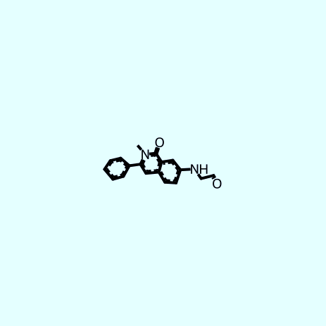 Cn1c(-c2ccccc2)cc2ccc(NCC=O)cc2c1=O